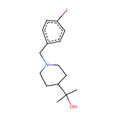 CC(C)(O)C1CCN(Cc2ccc(I)cc2)CC1